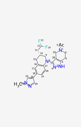 CC(=O)N1CCc2[nH]nc(N3C[C@@H](CC(F)F)Cc4cc(-c5cnn(C)c5)ccc43)c2C1